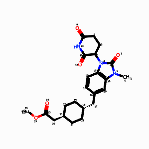 Cn1c(=O)n(C2CCC(=O)NC2=O)c2ccc(C[C@H]3CC[C@H](CC(=O)OC(C)(C)C)CC3)cc21